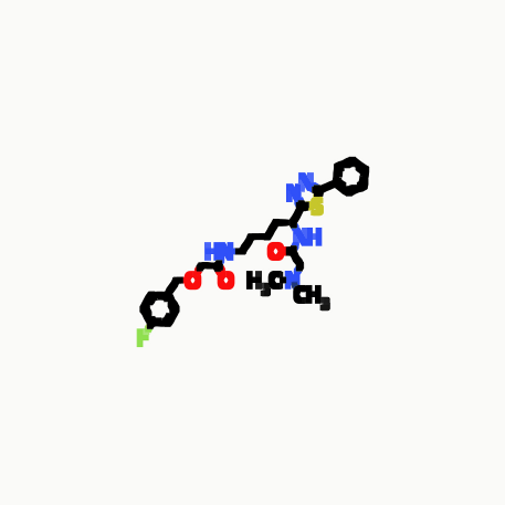 CN(C)CC(=O)N[C@@H](CCCCNC(=O)COCc1ccc(F)cc1)c1nnc(-c2ccccc2)s1